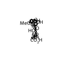 COc1ccc2c3c1O[C@H]1C(OC(=O)[C@@H](O)CC(=O)O[C@@H](C)C(=O)N[C@@H](C)C(=O)O)=CC[C@@]4(O)[C@@H](C2)N(C)CC[C@]314